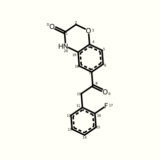 O=C1COc2ccc(C(=O)Cc3ccccc3F)cc2N1